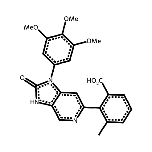 COc1cc(-n2c(=O)[nH]c3cnc(-c4c(C)cccc4C(=O)O)cc32)cc(OC)c1OC